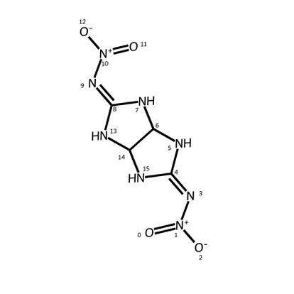 O=[N+]([O-])N=C1NC2NC(=N[N+](=O)[O-])NC2N1